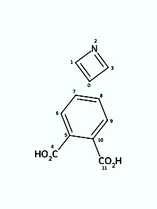 C1=CN=C1.O=C(O)c1ccccc1C(=O)O